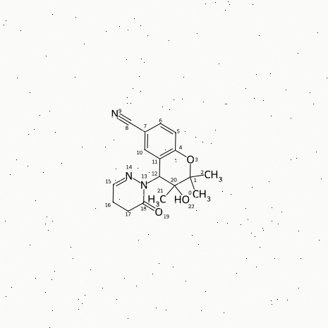 CC1(C)Oc2ccc(C#N)cc2C(N2N=CCCC2=O)C1(C)O